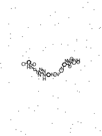 O=C1CC[C@H](n2nnc3ccc(N4CCC(CN5CCN(c6ccc(Nc7ncnc8c7ncn8C7CC(NC(=O)c8cccc(Cl)n8)C7)cc6)CC5)CC4)cc3c2=O)C(=O)N1